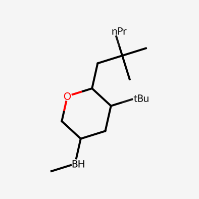 CBC1COC(CC(C)(C)CCC)C(C(C)(C)C)C1